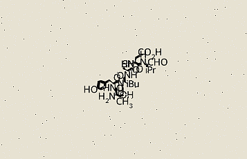 CC[C@H](C)[C@H](NC(=O)[C@H](Cc1ccc(O)cc1)NC(=O)[C@@H](N)[C@@H](C)O)C(=O)N[C@@H](CS)C(=O)N[C@@H](CCC(=O)O)C(=O)N[C@H]([C]=O)C(C)C